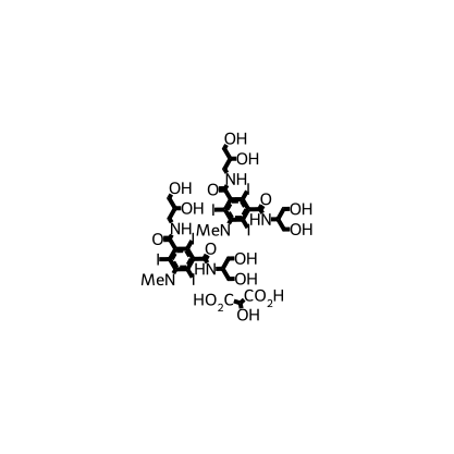 CNc1c(I)c(C(=O)NCC(O)CO)c(I)c(C(=O)NC(CO)CO)c1I.CNc1c(I)c(C(=O)NCC(O)CO)c(I)c(C(=O)NC(CO)CO)c1I.O=C(O)C(O)C(=O)O